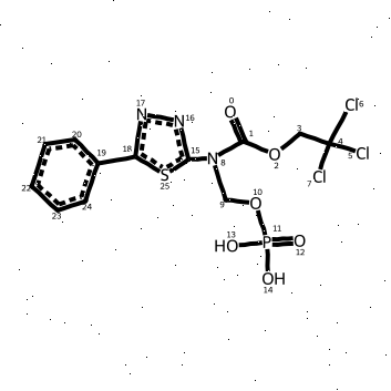 O=C(OCC(Cl)(Cl)Cl)N(COP(=O)(O)O)c1nnc(-c2ccccc2)s1